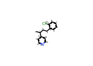 CC(CCc1ccccc1Cl)c1ccncc1